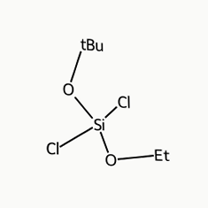 CCO[Si](Cl)(Cl)OC(C)(C)C